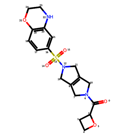 O=C(C1CCO1)N1CC2=C(C1)CN(S(=O)(=O)c1ccc3c(c1)NCCO3)C2